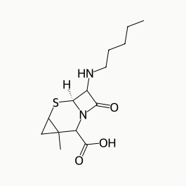 CCCCCNC1C(=O)N2C(C(=O)O)C3(C)CC3S[C@@H]12